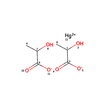 CC(O)C(=O)[O-].CC(O)C(=O)[O-].[Hg+2]